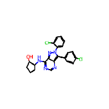 OC1CCCC1Nc1ncnc2c(-c3ccc(Cl)cc3)n(-c3ccccc3Cl)nc12